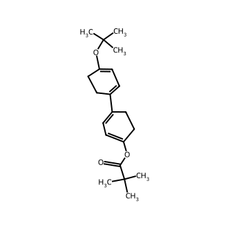 CC(C)(C)OC1=CC=C(C2=CC=C(OC(=O)C(C)(C)C)CC2)CC1